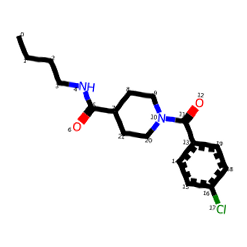 CCCCNC(=O)C1CCN(C(=O)c2ccc(Cl)cc2)CC1